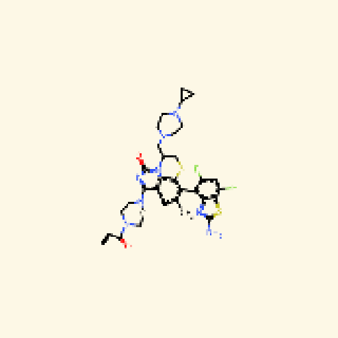 C=CC(=O)N1CCN(c2nc(=O)n3c4c(c(-c5c(F)cc(F)c6sc(N)nc56)c(C(F)(F)F)cc24)SCC3CN2CCN(C3CC3)CC2)CC1